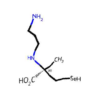 C[C@@](C[SeH])(NCCN)C(=O)O